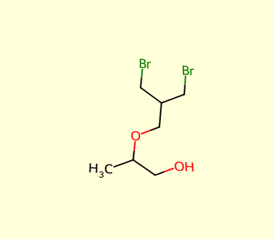 CC(CO)OCC(CBr)CBr